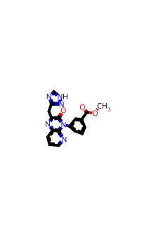 COC(=O)c1cccc(-n2c(=O)c(Cc3nc[nH]n3)nc3cccnc32)c1